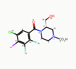 O=C(O)N1CCN(C(=O)c2cc(Cl)c(I)c(F)c2F)[C@H](CO)C1